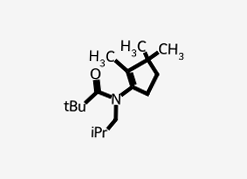 CC1=C(N(CC(C)C)C(=O)C(C)(C)C)CCC1(C)C